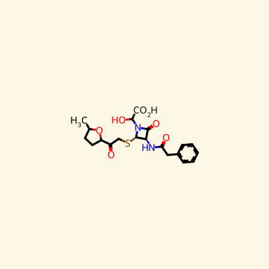 CC1CCC(C(=O)CS[C@@H]2[C@H](NC(=O)Cc3ccccc3)C(=O)N2C(O)C(=O)O)O1